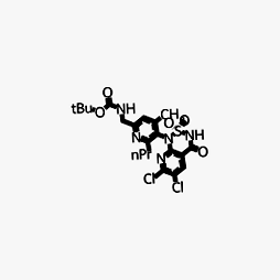 CCCc1nc(CNC(=O)OC(C)(C)C)cc(C)c1N1c2nc(Cl)c(Cl)cc2C(=O)NS1(=O)=O